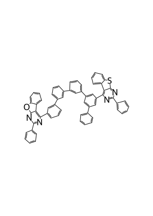 c1ccc(-c2cc(-c3cccc(-c4cccc(-c5cccc(-c6nc(-c7ccccc7)nc7oc8ccccc8c67)c5)c4)c3)cc(-c3nc(-c4ccccc4)nc4sc5ccccc5c34)c2)cc1